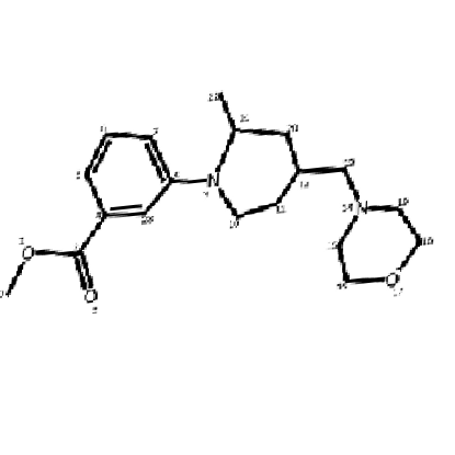 COC(=O)c1cccc(N2CCC(CN3CCOCC3)CC2C)c1